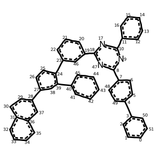 c1ccc(-c2ccc(-c3nc(-c4ccccc4)nc(-c4cccc(-c5ccc(-c6ccc7ccccc7c6)cc5-c5ccccc5)c4)n3)cc2)cc1